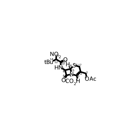 CC(=O)OCC1=C(C(=O)O)N2C(=O)C(NC(=O)C([N+](=O)[O-])C(C)(C)C)[C@@H]2SC1